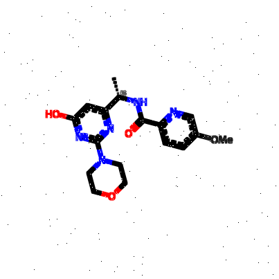 COc1ccc(C(=O)N[C@@H](C)c2cc(O)nc(N3CCOCC3)n2)nc1